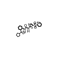 O=C(Nc1ncc(S(=O)(=O)c2ccccn2)s1)Nc1ccccc1C(=O)C1CCCC1